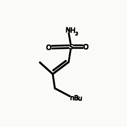 CCCCCC(C)=CS(N)(=O)=O